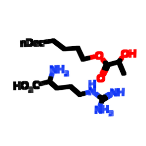 CCCCCCCCCCCCCCOC(=O)C(C)O.N=C(N)NCCCC(N)C(=O)O